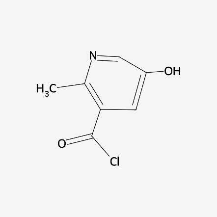 Cc1ncc(O)cc1C(=O)Cl